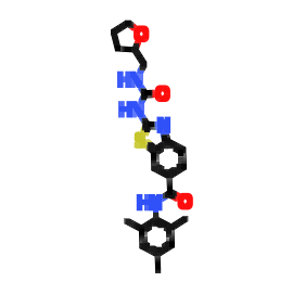 Cc1cc(C)c(NC(=O)c2ccc3nc(NC(=O)NCC4CCCO4)sc3c2)c(C)c1